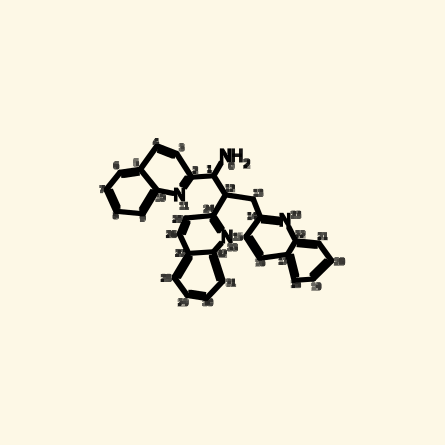 NC(c1ccc2ccccc2n1)C(Cc1ccc2ccccc2n1)c1ccc2ccccc2n1